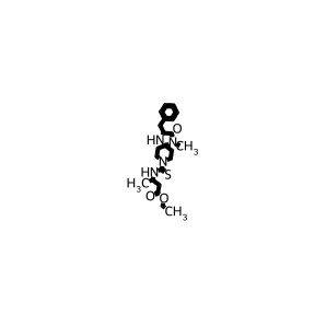 CCOC(=O)CC(C)NC(=S)N1CCC2(CC1)NC(Cc1ccccc1)C(=O)N2C